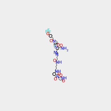 NC(=O)c1cc(-c2cn(CCCC(=O)NCCCCCNc3cccc4c3C(=O)N(C3CCC(=O)NC3=O)C4=O)cn2)cnc1O[C@@H]1CCN(C(=O)Cc2ccc(OC(F)(F)F)cc2)C[C@H]1F